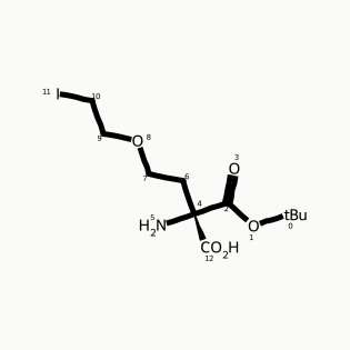 CC(C)(C)OC(=O)[C@](N)(CCOCCI)C(=O)O